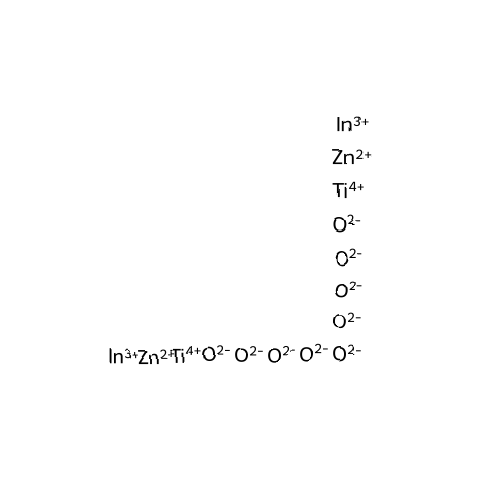 [In+3].[In+3].[O-2].[O-2].[O-2].[O-2].[O-2].[O-2].[O-2].[O-2].[O-2].[Ti+4].[Ti+4].[Zn+2].[Zn+2]